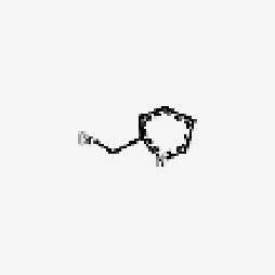 Br[CH]c1ccccn1